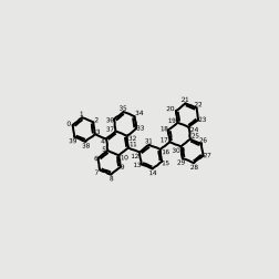 c1ccc(-c2c3ccccc3c(-c3cccc(-c4cc5ccccc5c5ccccc45)c3)c3ccccc23)cc1